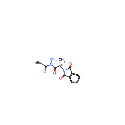 CCCCC(=O)N(N)C(=O)[C@H](C)N1C(=O)c2ccccc2C1=O